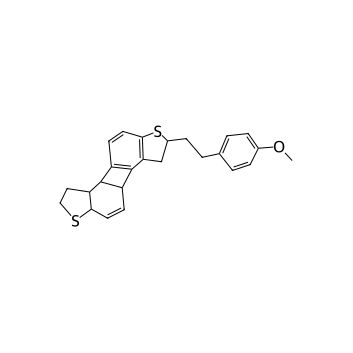 COc1ccc(CCC2Cc3c(ccc4c3C3C=CC5SCCC5C43)S2)cc1